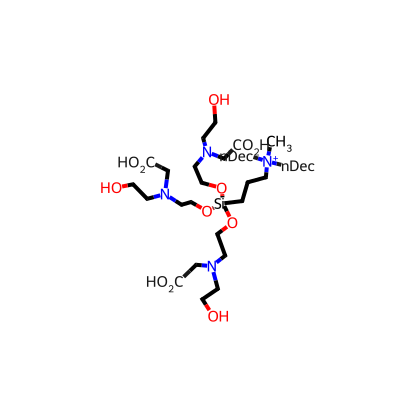 CCCCCCCCCC[N+](C)(CCCCCCCCCC)CCC[Si](OCCN(CCO)CC(=O)O)(OCCN(CCO)CC(=O)O)OCCN(CCO)CC(=O)O